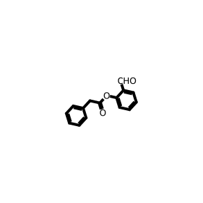 O=Cc1ccccc1OC(=O)Cc1ccccc1